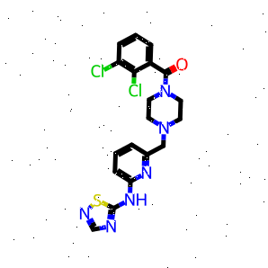 O=C(c1cccc(Cl)c1Cl)N1CCN(Cc2cccc(Nc3ncns3)n2)CC1